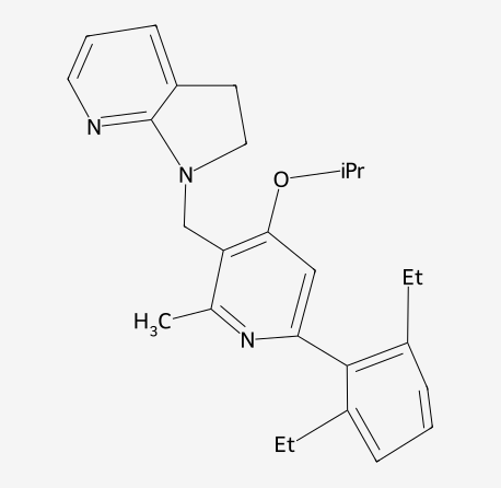 CCc1cccc(CC)c1-c1cc(OC(C)C)c(CN2CCc3cccnc32)c(C)n1